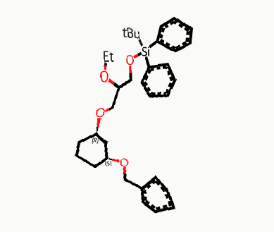 CCOC(CO[C@@H]1CCC[C@H](OCc2ccccc2)C1)CO[Si](c1ccccc1)(c1ccccc1)C(C)(C)C